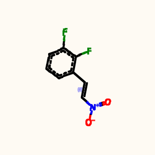 O=[N+]([O-])/C=C/c1cccc(F)c1F